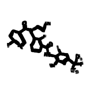 N#CCCN(C(=O)c1ccc(F)nc1)c1cccc(C(=O)Nc2c(Br)cc(C(F)(C(F)(F)F)C(F)(F)F)cc2I)c1F